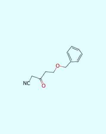 N#CCC(=O)CCOCc1ccccc1